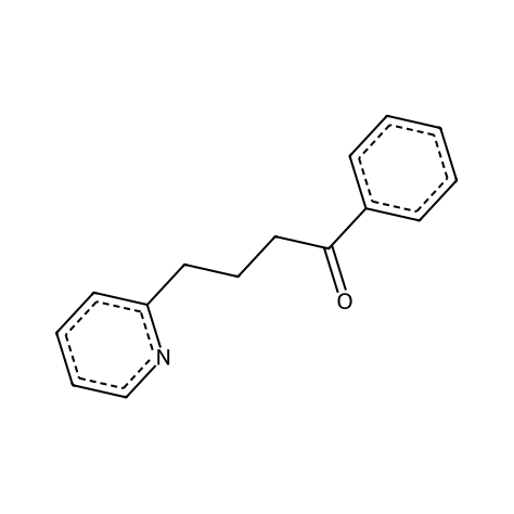 O=C(CCCc1ccccn1)c1ccccc1